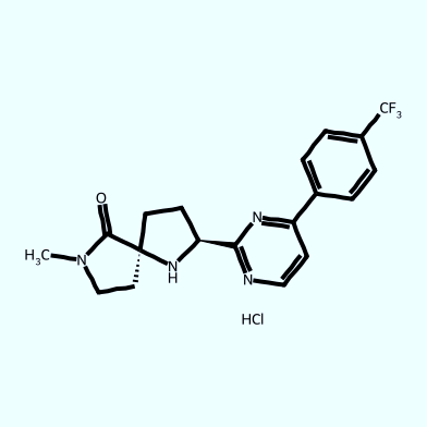 CN1CC[C@@]2(CC[C@@H](c3nccc(-c4ccc(C(F)(F)F)cc4)n3)N2)C1=O.Cl